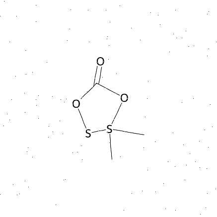 CS1(C)OC(=O)OS1